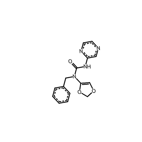 O=C(Nc1cnccn1)N(Cc1ccccc1)C1=COCO1